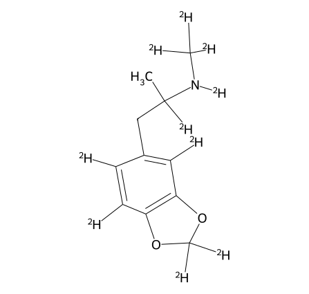 [2H]c1c([2H])c2c(c([2H])c1CC([2H])(C)N([2H])C([2H])([2H])[2H])OC([2H])([2H])O2